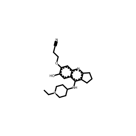 CCN1CCC(Nc2c3c(nc4cc(OCCC#N)c(O)cc24)CCC3)CC1